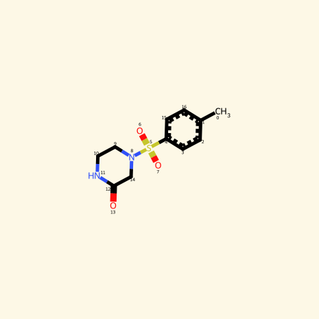 Cc1ccc(S(=O)(=O)N2CCNC(=O)C2)cc1